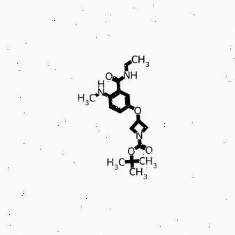 CCNC(=O)c1cc(OC2CN(C(=O)OC(C)(C)C)C2)ccc1NC